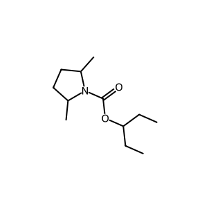 CCC(CC)OC(=O)N1C(C)CCC1C